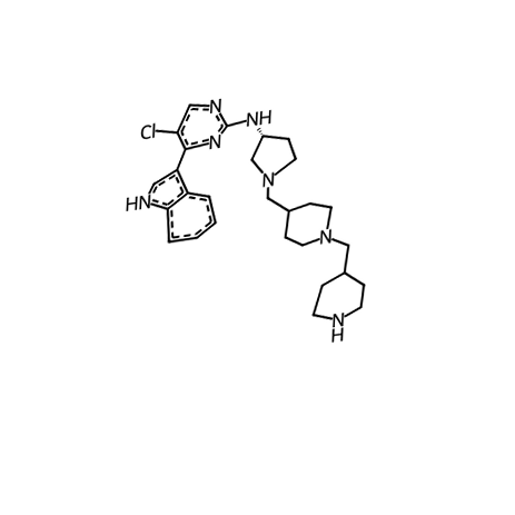 Clc1cnc(N[C@@H]2CCN(CC3CCN(CC4CCNCC4)CC3)C2)nc1-c1c[nH]c2ccccc12